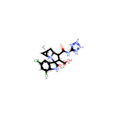 C[C@]12CC3C(C(=O)Nc4nnn[nH]4)C(C(=O)O)C4(C(=O)Nc5c(Cl)cc(Cl)cc54)N3C1C2